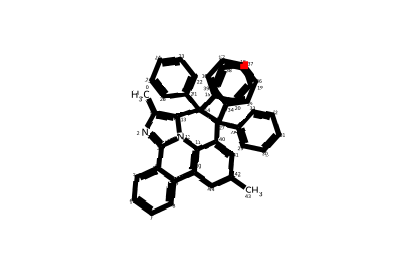 Cc1nc2c3ccccc3c3c4n2c1C(c1ccccc1)(c1ccccc1)C(c1ccccc1)(c1ccccc1)C4=CC(C)C3